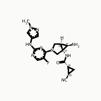 Cn1cc(Nc2ncc(F)c(N3C[C@H]4[C@@H](N)[C@@]4(NC(=O)[C@@H]4C[C@H]4C#N)C3)n2)cn1